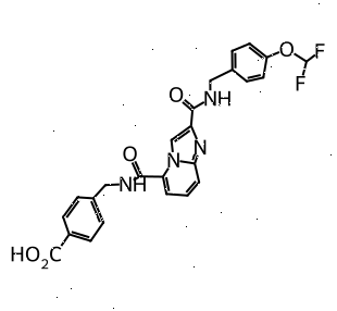 O=C(O)c1ccc(CNC(=O)c2cccc3nc(C(=O)NCc4ccc(OC(F)F)cc4)cn23)cc1